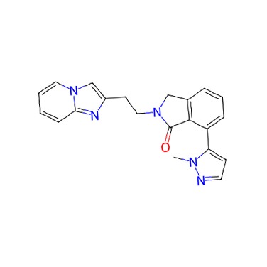 Cn1nccc1-c1cccc2c1C(=O)N(CCc1cn3ccccc3n1)C2